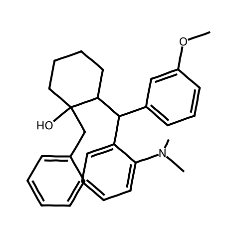 COc1cccc(C(c2ccccc2N(C)C)C2CCCCC2(O)Cc2ccccc2)c1